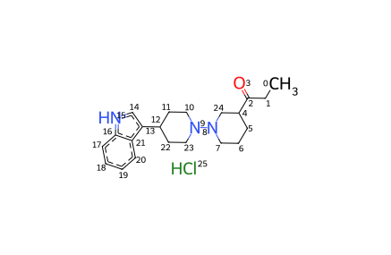 CCC(=O)C1CCCN(N2CCC(c3c[nH]c4ccccc34)CC2)C1.Cl